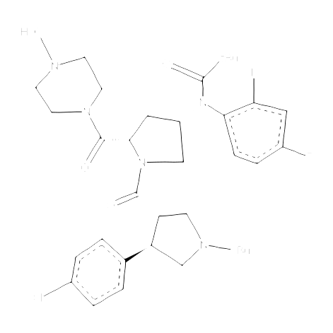 CN1CCN(C(=O)[C@@H]2C[C@H](N(C(=O)C(C)(C)C)c3ccc(F)cc3F)CN2C(=O)[C@@H]2CN(C(C)(C)C)C[C@H]2c2ccc(Cl)cc2)CC1